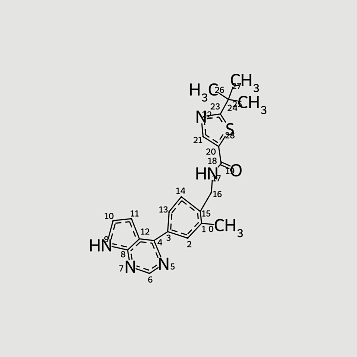 Cc1cc(-c2ncnc3[nH]ccc23)ccc1CNC(=O)c1cnc(C(C)(C)C)s1